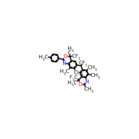 CC1=Nc2c(cc(C(c3cc4c(c(C)c3C)N=C(c3ccc(C)cc3)OC4(C)C(F)(F)F)C(F)(F)F)c(C)c2C)C(C)(C(F)(F)F)O1